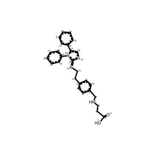 O=C(O)CCNCc1ccc(CC/N=c2\scc(-c3ccccc3)n2-c2ccccc2)cc1